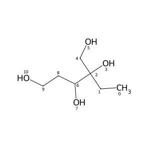 CCC(O)(CO)C(O)CCO